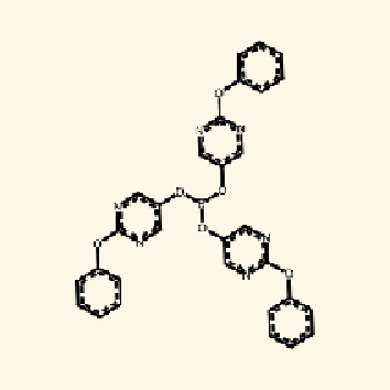 c1ccc(Oc2ncc(OB(Oc3cnc(Oc4ccccc4)nc3)Oc3cnc(Oc4ccccc4)nc3)cn2)cc1